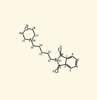 O=C1c2ccccc2C(=O)N1CCCCCN1CCOCC1